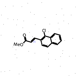 COC(=O)/C=C/c1ccc2ccccc2c1Cl